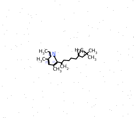 C=C(CCCCC(=C)/C(C#N)=C(C)/C=C(C)\C=C/C)CC(C)(C)C